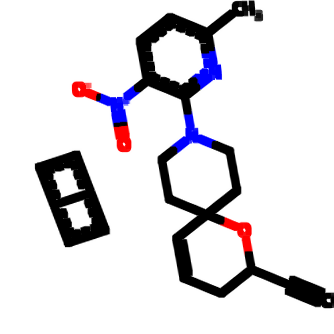 C#CC1CC=CC2(CCN(c3nc(C)ccc3[N+](=O)[O-])CC2)O1.c1cc2ccc1-2